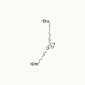 CCCCCCCCCCCCCCCCCCOCC(CC)(CI)COCCCCCCCCCCCCCCCCCC